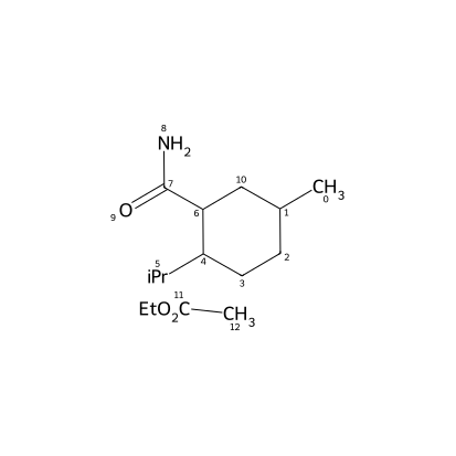 CC1CCC(C(C)C)C(C(N)=O)C1.CCOC(C)=O